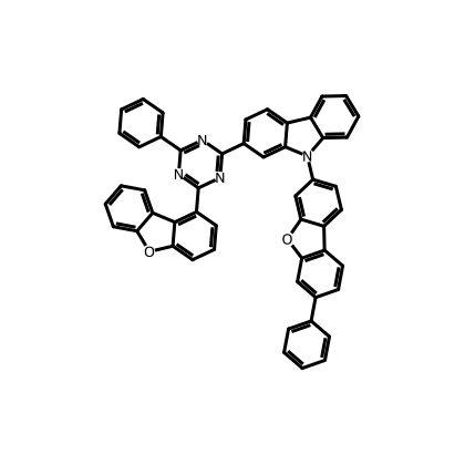 c1ccc(-c2ccc3c(c2)oc2cc(-n4c5ccccc5c5ccc(-c6nc(-c7ccccc7)nc(-c7cccc8oc9ccccc9c78)n6)cc54)ccc23)cc1